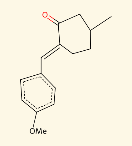 COc1ccc(C=C2CCC(C)CC2=O)cc1